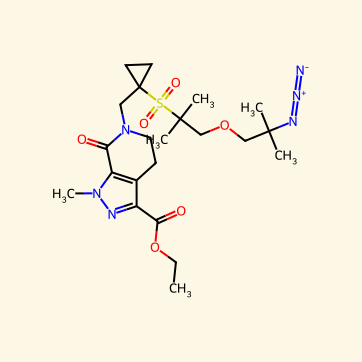 CCOC(=O)c1nn(C)c2c1CCN(CC1(S(=O)(=O)C(C)(C)COCC(C)(C)N=[N+]=[N-])CC1)C2=O